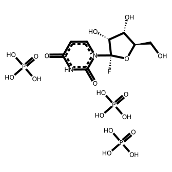 O=P(O)(O)O.O=P(O)(O)O.O=P(O)(O)O.O=c1ccn([C@]2(F)O[C@H](CO)[C@@H](O)[C@H]2O)c(=O)[nH]1